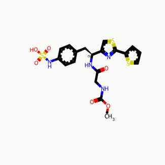 COC(=O)NCC(=O)N[C@@H](Cc1ccc(NS(=O)(=O)O)cc1)c1csc(-c2cccs2)n1